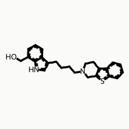 OCc1cccc2c(CCCCN3CCc4c(sc5ccccc45)C3)c[nH]c12